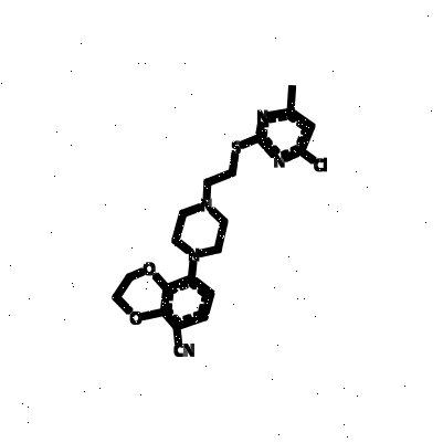 Cc1cc(Cl)nc(SCCN2CCN(c3ccc(C#N)c4c3OCCO4)CC2)n1